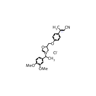 COc1ccc(C(C)[N+]2=COC(COc3ccc(/C(C)=C/C#N)cc3)C2)cc1OC.[Cl-]